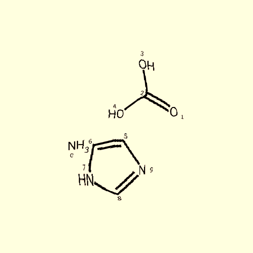 N.O=C(O)O.c1c[nH]cn1